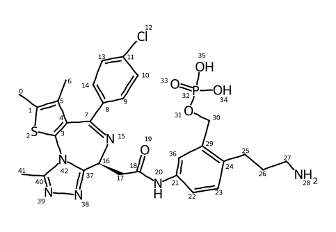 Cc1sc2c(c1C)C(c1ccc(Cl)cc1)=N[C@@H](CC(=O)Nc1ccc(CCCN)c(COP(=O)(O)O)c1)c1nnc(C)n1-2